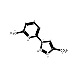 COc1cccc(-n2cc(C(=O)O)nn2)n1